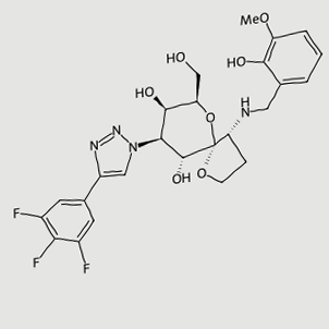 COc1cccc(CN[C@@H]2CCO[C@]23O[C@H](CO)[C@H](O)[C@H](n2cc(-c4cc(F)c(F)c(F)c4)nn2)[C@H]3O)c1O